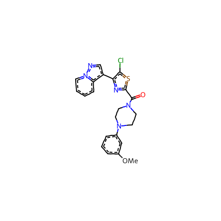 COc1cccc(N2CCN(C(=O)c3nc(-c4cnn5ccccc45)c(Cl)s3)CC2)c1